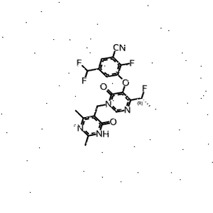 Cc1nc(C)c(Cn2cnc([C@@H](C)F)c(Oc3cc(C(F)F)cc(C#N)c3F)c2=O)c(=O)[nH]1